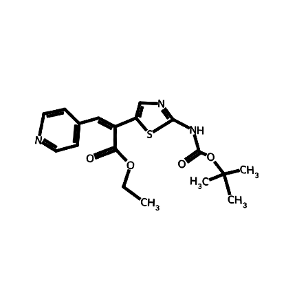 CCOC(=O)/C(=C\c1ccncc1)c1cnc(NC(=O)OC(C)(C)C)s1